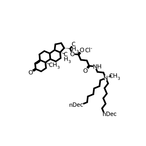 CCCCCCCCCCCCCCCC[N+](C)(CCCCCCCCCCCCCCCC)CCNC(=O)CCC(=O)OC(C)[C@H]1CCC2C3CCC4=CC(=O)CC[C@]4(C)C3CC[C@@]21C.[Cl-]